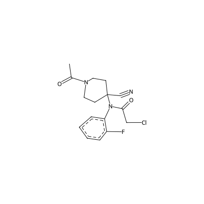 CC(=O)N1CCC(C#N)(N(C(=O)CCl)c2ccccc2F)CC1